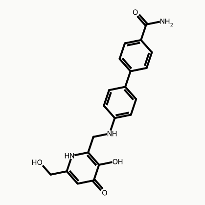 NC(=O)c1ccc(-c2ccc(NCc3[nH]c(CO)cc(=O)c3O)cc2)cc1